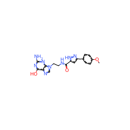 COc1ccc(-c2cc(C(=O)NCCn3cnc4c(O)nc(N)nc43)[nH]n2)cc1